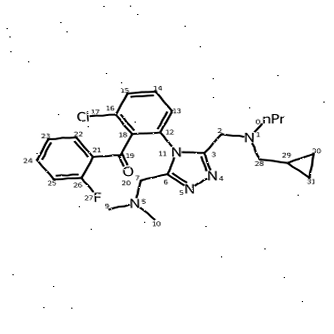 CCCN(Cc1nnc(CN(C)C)n1-c1cccc(Cl)c1C(=O)c1ccccc1F)CC1CC1